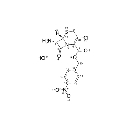 Cl.NC1C(=O)N2C(C(=O)OCc3ccc([N+](=O)[O-])cc3)=C(Cl)CS[C@@H]12